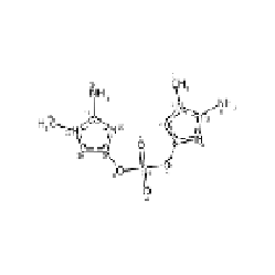 Cn1cc(OS(=O)(=O)Oc2cn(C)c(N)n2)nc1N